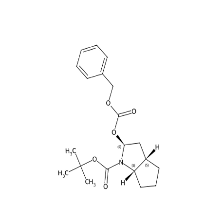 CC(C)(C)OC(=O)N1[C@@H](OC(=O)OCc2ccccc2)C[C@@H]2CCC[C@@H]21